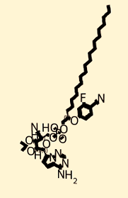 CCCCCCCCCCCCCCCCCCC[C@H](COP(=O)(O)OC[C@@]1(C#N)O[C@@H](c2ccc3c(N)ncnn23)[C@@H]2OC(C)(C)O[C@@H]21)Oc1ccc(C#N)c(F)c1